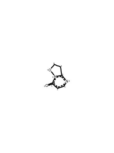 O=c1[c]cnc2n1OCC2